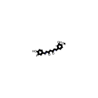 COc1ccc(/C=C/C(=O)CC(=O)/C=C/c2ccc(O)c(F)c2)cc1O